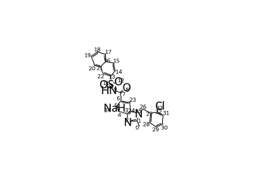 Cc1nc2ccc(C(=O)NS(=O)(=O)c3ccc4ccccc4c3)cc2n1Cc1ccccc1Cl.[NaH]